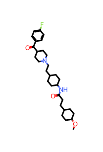 COC1CCC(CCC(=O)NC2CCC(CCN3CCC(C(=O)c4ccc(F)cc4)CC3)CC2)CC1